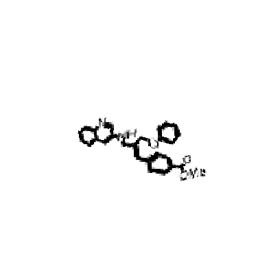 COC(=O)c1ccc(C=C(CNc2cnc3ccccc3c2)COc2ccccc2)cc1